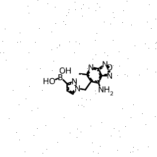 Cc1nc2nonc2c(N)c1Cn1ccc(B(O)O)n1